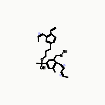 C=Cc1ccc(CCCOC(C)(O)c2cc(C)c(/C=C\C=C/C)c(CSS)c2)cc1/C=C\C